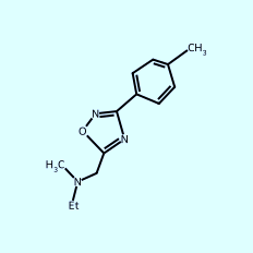 CCN(C)Cc1nc(-c2ccc(C)cc2)no1